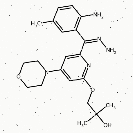 Cc1ccc(N)c(C(=NN)c2cc(N3CCOCC3)cc(OCC(C)(C)O)n2)c1